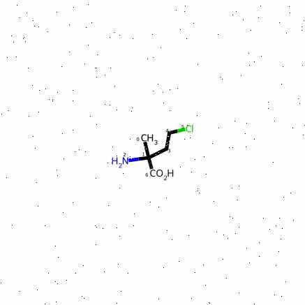 CC(N)(CCCl)C(=O)O